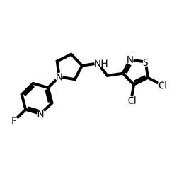 Fc1ccc(N2CCC(NCc3nsc(Cl)c3Cl)C2)cn1